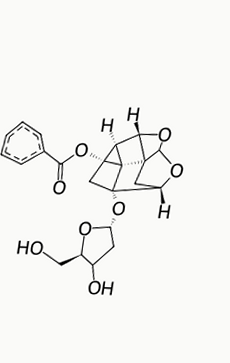 O=C(O[C@]12C[C@]3(O[C@@H]4CC(O)[C@@H](CO)O4)[C@@H]4CC56C(O4)O[C@H]5[C@H]1[C@@]632)c1ccccc1